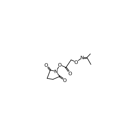 CC(C)=NOCC(=O)ON1C(=O)CCC1=O